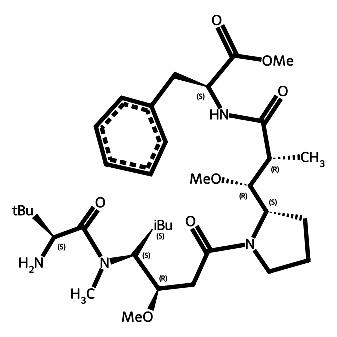 CC[C@H](C)[C@@H]([C@@H](CC(=O)N1CCC[C@H]1[C@H](OC)[C@@H](C)C(=O)N[C@@H](Cc1ccccc1)C(=O)OC)OC)N(C)C(=O)[C@@H](N)C(C)(C)C